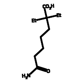 CCC(CC)(CCCCC(N)=O)C(=O)O